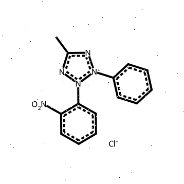 Cc1nn(-c2ccccc2[N+](=O)[O-])[n+](-c2ccccc2)n1.[Cl-]